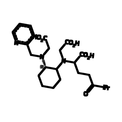 CC(C)C(=O)CCC(C(=O)O)N(CC(=O)O)C1CCCC[C@@H]1N(CC(=O)O)Cc1ccccn1